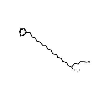 CCCCCCCCCCCCCC(CCCCCCCCCCCCCCCCc1ccccc1)C(=O)O